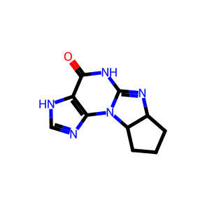 O=C1NC2=NC3CCCC3N2c2nc[nH]c21